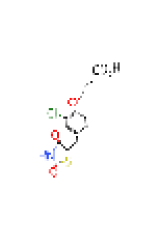 O=C(O)CCCOc1ccc(CC2SC(=O)NC2=O)cc1Cl